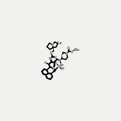 CC(C)[Si](C#Cc1cccc2cccc(-c3ncc4c(N(C)C5CCN(C(=O)OC(C)(C)C)CC5)nc(OC[C@@]56CCCN5C[C@H](F)C6)nc4c3F)c12)(C(C)C)C(C)C